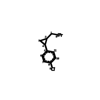 CC(C)CC1CC1c1ccc(Cl)cc1